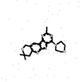 Cc1nc(N2CCOCC2)c2sc3nc4c(cc3c2n1)COC(C)(C)C4